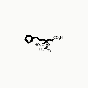 O=C(O)CCC(CCCc1ccccc1)(O[PH](=O)O)C(=O)O